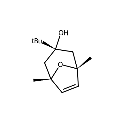 CC(C)(C)[C@@]1(O)C[C@]2(C)C=C[C@](C)(C1)O2